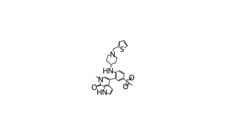 Cn1cc(-c2cc(S(C)(=O)=O)ccc2NC2CCN(Cc3cccs3)CC2)c2cc[nH]c2c1=O